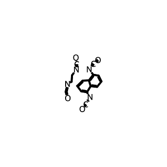 O=C=NCCN=C=O.O=C=Nc1cccc2c(N=C=O)cccc12